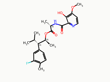 COc1ccnc(C(=O)N[C@@H](C)C(=O)O[C@@H](C)[C@H](c2ccc(C)c(F)c2)C(C)C)c1O